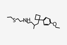 CCOc1ccc(C2(CC(C)CCNCCSCC)CCC2)cc1